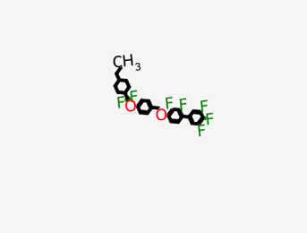 CCCC1CCC(C(F)(F)Oc2ccc(COc3ccc(-c4cc(F)c(F)c(F)c4)c(F)c3F)cc2)CC1